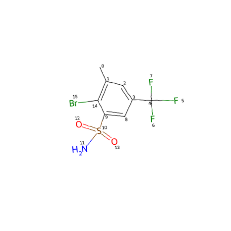 Cc1cc(C(F)(F)F)cc(S(N)(=O)=O)c1Br